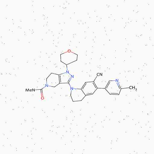 CNC(=O)N1CCc2c(c(N3CCCc4cc(-c5ccc(C)nc5)c(C#N)cc43)nn2C2CCOCC2)C1